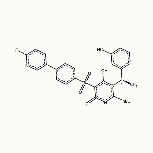 CCCCc1nc(=O)c(S(=O)(=O)c2ccc(-c3ccc(F)nc3)cc2)c(O)n1[C@H](C)c1cccc(C#N)c1